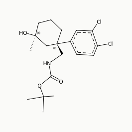 CC(C)(C)OC(=O)NC[C@]1(c2ccc(Cl)c(Cl)c2)CCC[C@](C)(O)C1